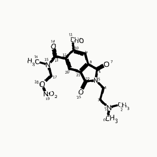 CN(C)CCN1C(=O)c2cc(C=O)c(C(=O)N(C)CO[N+](=O)[O-])cc2C1=O